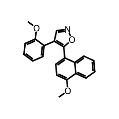 COc1ccccc1-c1cnoc1-c1ccc(OC)c2ccccc12